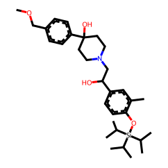 COCc1ccc(C2(O)CCN(CC(O)c3ccc(O[Si](C(C)C)(C(C)C)C(C)C)c(C)c3)CC2)cc1